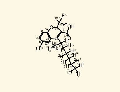 [2H]C([2H])([2H])C([2H])([2H])C([2H])([2H])C([2H])([2H])C([2H])([2H])C([2H])(C1=C(C(=O)O)C(C(F)(F)F)Oc2ccc(Cl)cc21)C([2H])([2H])[2H]